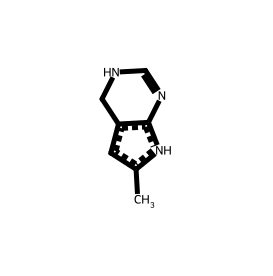 Cc1cc2c([nH]1)N=CNC2